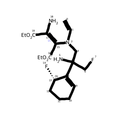 C=CN(CC(N)(CF)C1=CCCC[C@@H]1F)/C(C(=O)OCC)=C(\N)C(=O)OCC